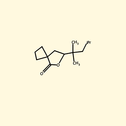 CC(C)CC(C)(C)C1CC2(CCC2)C(=O)O1